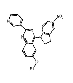 CCOc1ccc2nc(-c3cccnc3)nc(N3CCc4cc([N+](=O)[O-])ccc43)c2c1